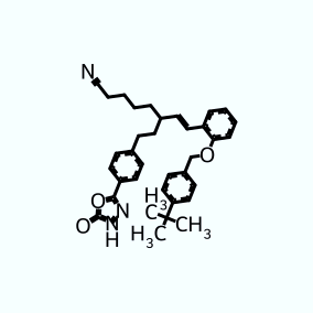 CC(C)(C)c1ccc(COc2ccccc2/C=C/C(CCCCC#N)CCc2ccc(-c3n[nH]c(=O)o3)cc2)cc1